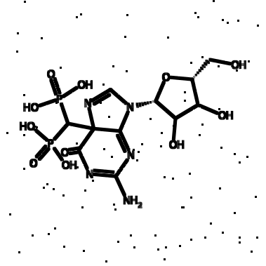 NC1=NC(=O)C2(C(P(=O)(O)O)P(=O)(O)O)N=CN([C@@H]3O[C@H](CO)C(O)C3O)C2=N1